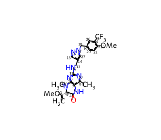 C=C(OC)[C@H]1C(=O)Nc2c(C)nc(NCc3cnn(Cc4ccc(OC)c(C(F)(F)F)c4)c3)nc2N1C